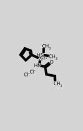 CCCC(=O)[NH][Zr+2]([C]1=CC=CC1)[SiH](C)C.[Cl-].[Cl-]